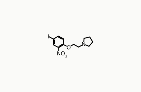 O=[N+]([O-])c1cc(I)ccc1OCCN1CCCC1